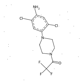 Nc1cc(Cl)c(N2CCN(C(=O)C(F)(F)F)CC2)cc1Cl